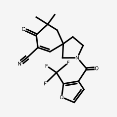 CC1(C)CC2(C=C(C#N)C1=O)CCN(C(=O)c1ccoc1C(F)(F)F)C2